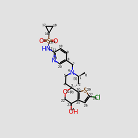 C[C@H]1C[C@@]2(CCN1Cc1ccc(NS(=O)(=O)C3CC3)nc1)OCC(O)c1cc(Cl)sc12